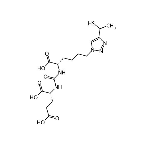 CC(S)c1cn(CCCC[C@H](NC(=O)N[C@H](CCC(=O)O)C(=O)O)C(=O)O)nn1